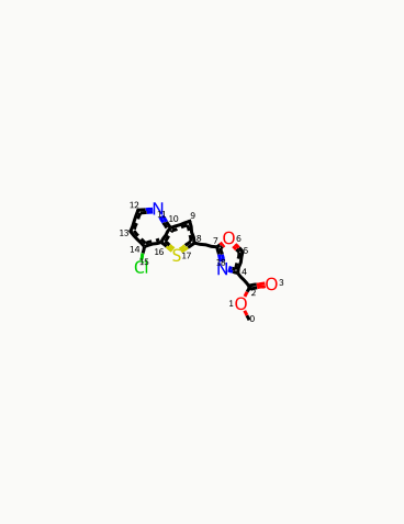 COC(=O)c1coc(-c2cc3nccc(Cl)c3s2)n1